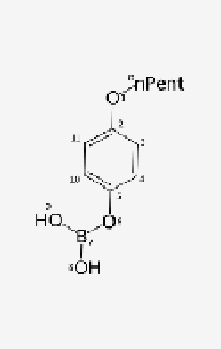 CCCCCOc1ccc(OB(O)O)cc1